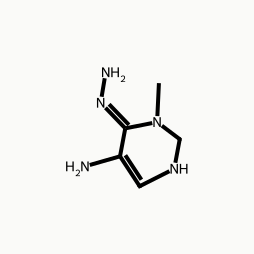 CN1CNC=C(N)C1=NN